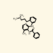 Cc1ccnc(Nc2ccccc2CCCN(C)C)c1NC(=O)c1ccccc1